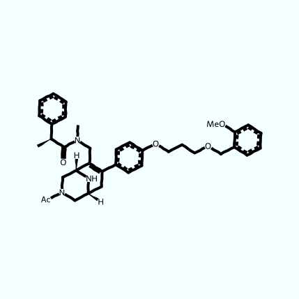 COc1ccccc1COCCCOc1ccc(C2=C(CN(C)C(=O)[C@@H](C)c3ccccc3)[C@H]3CN(C(C)=O)C[C@@H](C2)N3)cc1